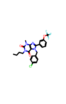 CCCCn1c(=O)c2c(nc(-c3cccc(OC(F)(F)F)c3)n2Cc2ccc(Cl)cc2)n(C)c1=O